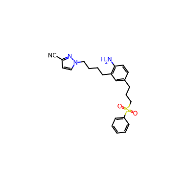 N#Cc1ccn(CCCCc2cc(CCCS(=O)(=O)c3ccccc3)ccc2N)n1